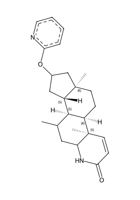 CC1CC2NC(=O)C=C[C@]2(C)[C@@H]2CC[C@]3(C)CC(Oc4ccccn4)C[C@H]3[C@H]12